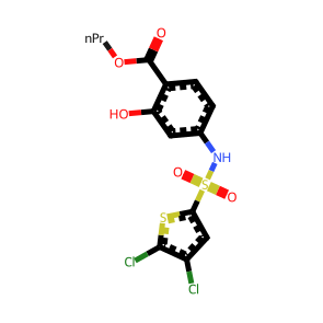 CCCOC(=O)c1ccc(NS(=O)(=O)c2cc(Cl)c(Cl)s2)cc1O